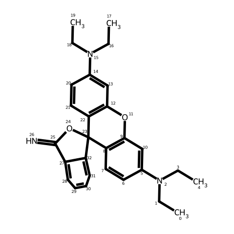 CCN(CC)c1ccc2c(c1)Oc1cc(N(CC)CC)ccc1C21OC(=N)c2ccccc21